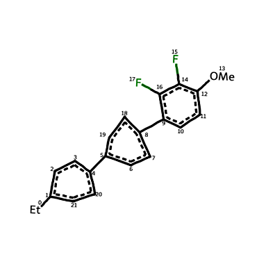 CCc1ccc(-c2ccc(-c3ccc(OC)c(F)c3F)cc2)cc1